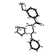 NCc1cccc(C(=O)N(CCc2ccccc2)C[C@@H]2CCCN2)c1